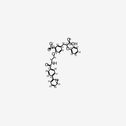 O=C(NCCOc1ccc(CC(Oc2ccccc2)C(=O)O)cc1[N+](=O)[O-])c1ccc(-c2ccccn2)cc1